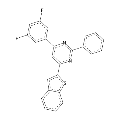 Fc1cc(F)cc(-c2cc(-c3cc4ccccc4s3)nc(-c3ccccc3)n2)c1